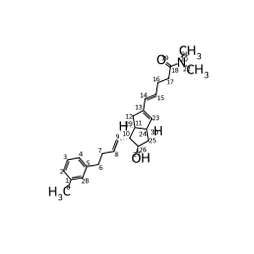 Cc1cccc(CC/C=C/[C@@H]2[C@H]3CC(/C=C/CCC(=O)N(C)C)=C[C@H]3C[C@H]2O)c1